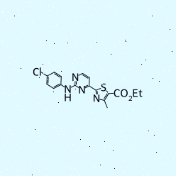 CCOC(=O)c1sc(-c2ccnc(Nc3ccc(Cl)cc3)n2)nc1C